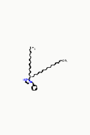 CCCCCCCCCCCCCCC[C@H](CCCCCCCCCCCC)c1[nH]cc[n+]1Cc1ccccc1